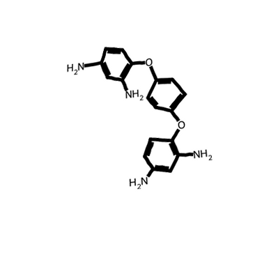 Nc1ccc(Oc2ccc(Oc3ccc(N)cc3N)cc2)c(N)c1